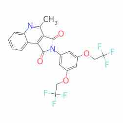 Cc1nc2ccccc2c2c1C(=O)N(c1cc(OCC(F)(F)F)cc(OCC(F)(F)F)c1)C2=O